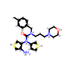 [CH]c1ccc(CN(CCCN2CCOCC2)C(=O)N(c2ccsc2)c2cscc2N)cc1